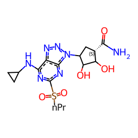 CCCS(=O)(=O)c1nc(NC2CC2)c2nnn(C3C[C@H](C(N)=O)C(O)C3O)c2n1